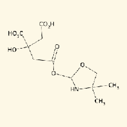 CC1(C)COC(OC(=O)CC(O)(CC(=O)O)C(=O)O)N1